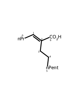 CCCC=C(CCCCCCC)C(=O)O